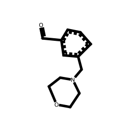 O=[C]c1cccc(CN2CCOCC2)c1